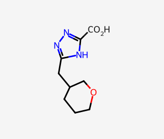 O=C(O)c1nnc(CC2CCCOC2)[nH]1